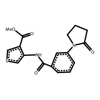 COC(=O)c1cscc1NC(=O)c1cccc(N2CCCC2=O)c1